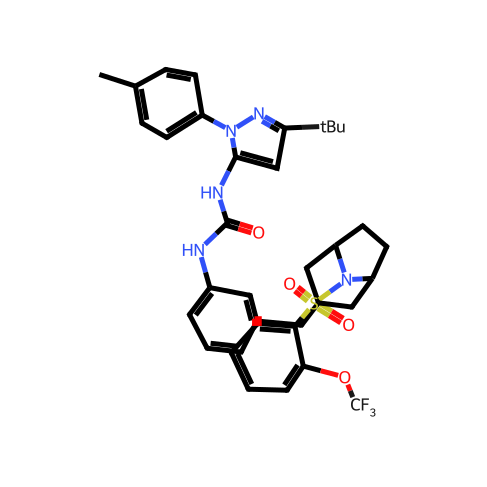 Cc1ccc(-n2nc(C(C)(C)C)cc2NC(=O)Nc2cccc(CC3CC4CCC(C3)N4S(=O)(=O)c3ccccc3OC(F)(F)F)c2)cc1